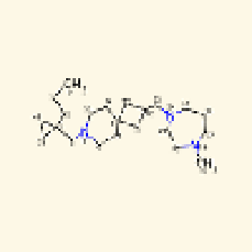 CCCC1(CN2CCC3(CC2)CC(CN2CCCN(C)CC2)C3)CC1